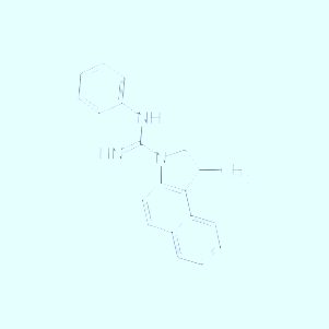 CC1CN(C(=N)Nc2ccccc2)c2ccc3ccccc3c21